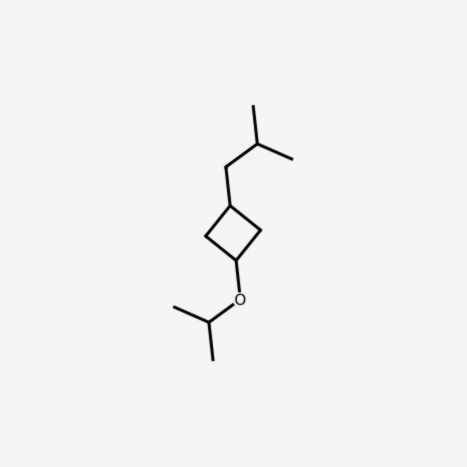 CC(C)CC1CC(OC(C)C)C1